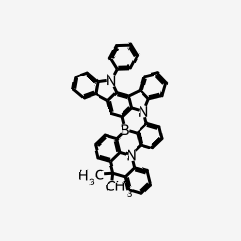 CC1(C)c2ccccc2N2c3cccc4c3B(c3cccc1c32)c1cc2c3ccccc3n(-c3ccccc3)c2c2c3ccccc3n-4c12